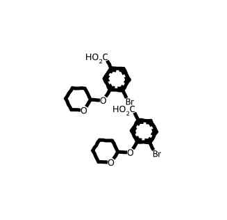 O=C(O)c1ccc(Br)c(OC2CCCCO2)c1.O=C(O)c1ccc(Br)c(OC2CCCCO2)c1